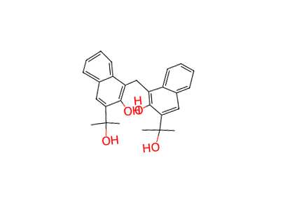 CC(C)(O)c1cc2ccccc2c(Cc2c(O)c(C(C)(C)O)cc3ccccc23)c1O